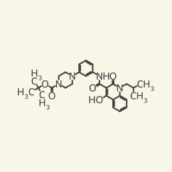 CC(C)Cn1c(=O)c(C(=O)Nc2cccc(N3CCN(C(=O)OC(C)(C)C)CC3)c2)c(O)c2ccccc21